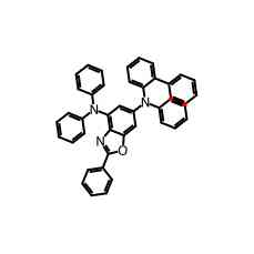 c1ccc(-c2nc3c(N(c4ccccc4)c4ccccc4)cc(N(c4ccccc4)c4ccccc4-c4ccccc4)cc3o2)cc1